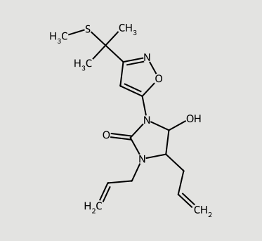 C=CCC1C(O)N(c2cc(C(C)(C)SC)no2)C(=O)N1CC=C